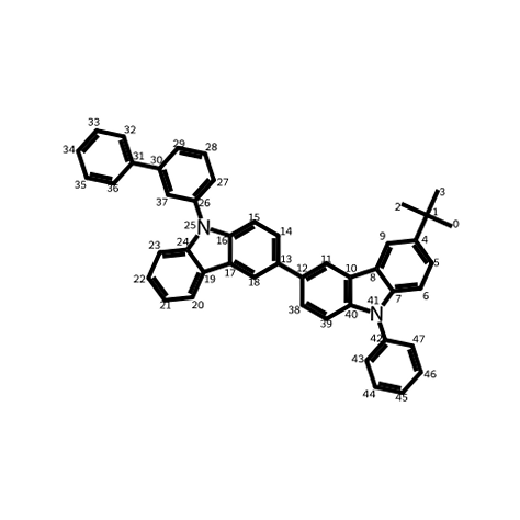 CC(C)(C)c1ccc2c(c1)c1cc(-c3ccc4c(c3)c3ccccc3n4-c3cccc(-c4ccccc4)c3)ccc1n2-c1ccccc1